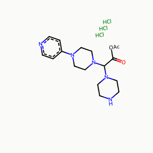 CC(=O)OC(=O)C(N1CCNCC1)N1CCN(c2ccncc2)CC1.Cl.Cl.Cl